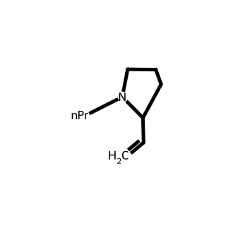 C=CC1CCCN1CCC